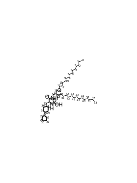 CCCCCCCCCCCCCCOCC(CNC(=O)C(Cc1ccc(-c2ccccc2)cc1)NC(=O)O)OCCCCCCCCCCCCCC